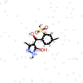 Cc1ccc(C(=O)c2c(C)nn(C)c2O)c(S(C)(=O)=O)c1